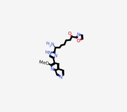 COc1nc2cnccc2cc1-c1c[nH]c([C@@H](N)CCCCCC(=O)c2ncco2)n1